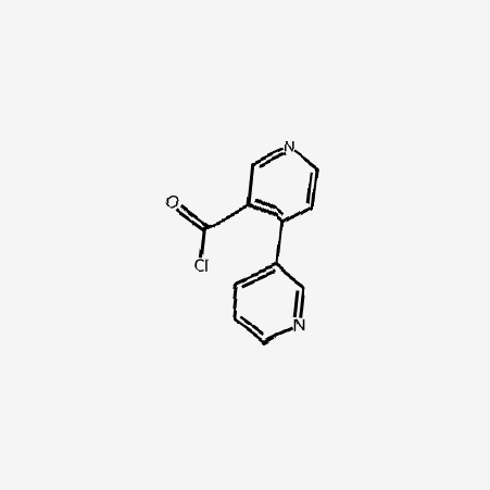 O=C(Cl)c1cnccc1-c1cccnc1